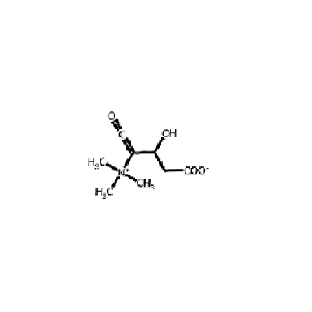 C[N+](C)(C)C(=C=O)C(O)CC(=O)[O-]